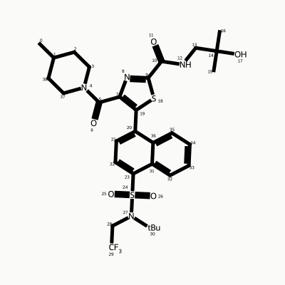 CC1CCN(C(=O)c2nc(C(=O)NCC(C)(C)O)sc2-c2ccc(S(=O)(=O)N(CC(F)(F)F)C(C)(C)C)c3ccccc23)CC1